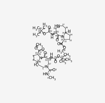 CNC(=O)N1CC[C@H]2CC[C@@H](C(=O)OC)N2C(=O)[C@@H](NC(=O)OC(C)(C)C)C1.COC(=O)[C@@H]1CC[C@@H]2CCNC[C@H](NC(=O)OC(C)(C)C)C(=O)N21